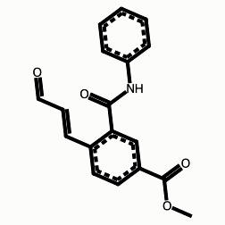 COC(=O)c1ccc(C=CC=O)c(C(=O)Nc2ccccc2)c1